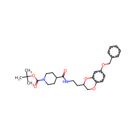 CC(C)(C)OC(=O)N1CCC(C(=O)NCCC2COc3ccc(OCc4ccccc4)cc3O2)CC1